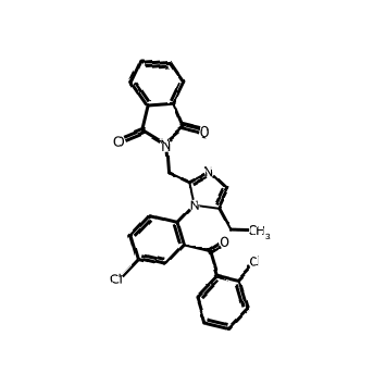 CCc1cnc(CN2C(=O)c3ccccc3C2=O)n1-c1ccc(Cl)cc1C(=O)c1ccccc1Cl